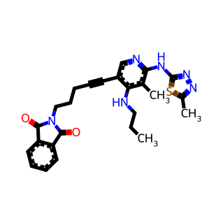 CCCNc1c(C#CCCCN2C(=O)c3ccccc3C2=O)cnc(Nc2nnc(C)s2)c1C